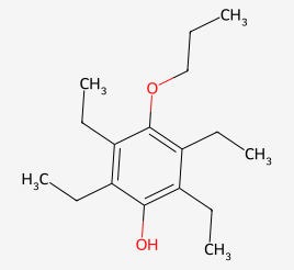 CCCOc1c(CC)c(CC)c(O)c(CC)c1CC